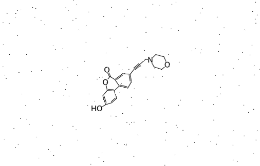 O=c1oc2cc(O)ccc2c2ccc(C#CCN3CCOCC3)cc12